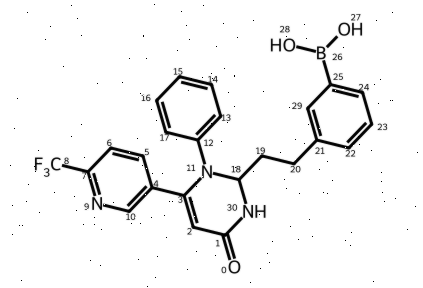 O=C1C=C(c2ccc(C(F)(F)F)nc2)N(c2ccccc2)C(CCc2cccc(B(O)O)c2)N1